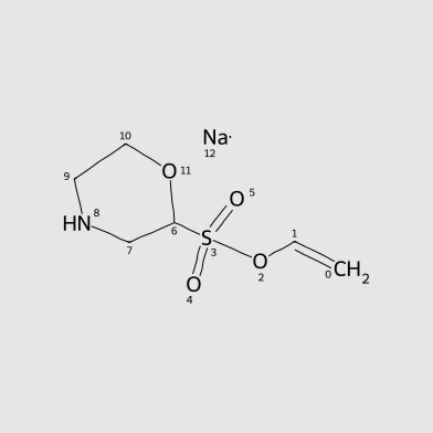 C=COS(=O)(=O)C1CNCCO1.[Na]